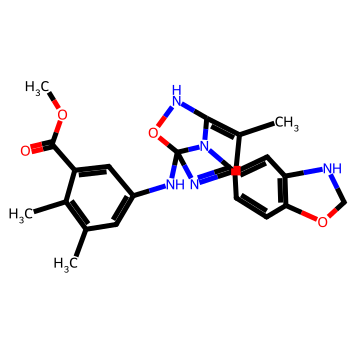 COC(=O)c1cc(NC23N=CC(C)=C(NO2)N3c2ccc3c(c2)NCO3)cc(C)c1C